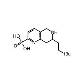 CC(C)(C)CCC1Cc2nc(P(=O)(O)O)ccc2CN1